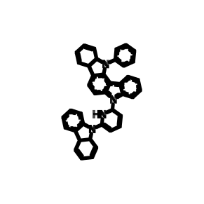 C1=CC2c3ccccc3N(C3=CC=CC(n4c5ccccc5c5c6c(ccc54)C4C=CC=CC4N6c4ccccc4)N3)C2C=C1